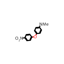 CNc1ccc(Oc2ccc([N+](=O)[O-])cc2)cc1